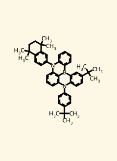 CC(C)(C)c1ccc(N2c3ccc(C(C)(C)C)cc3B3c4ccccc4N(c4ccc5c(c4)C(C)(C)CCC5(C)C)c4cccc2c43)cc1